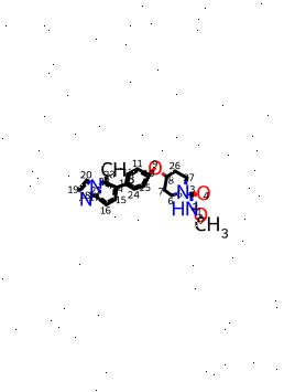 CONC(=O)N1CCC(Oc2ccc(-c3ccc4nccn4c3C)cc2)CC1